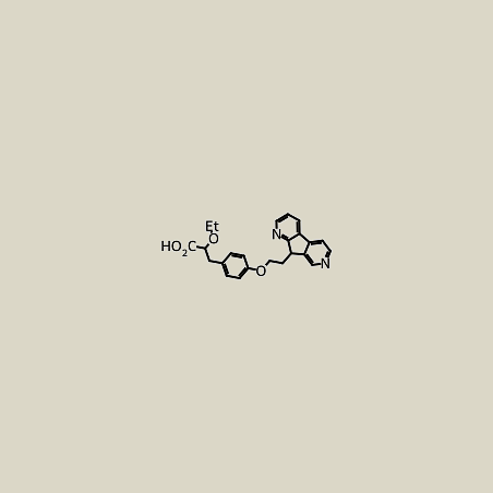 CCOC(Cc1ccc(OCCC2c3cnccc3-c3cccnc32)cc1)C(=O)O